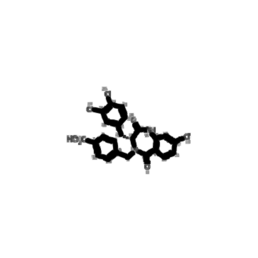 O=C(O)c1ccc(CN2C(=O)c3ccc(Cl)cc3NC(=O)[C@H]2Cc2ccc(Cl)c(Cl)c2)cc1